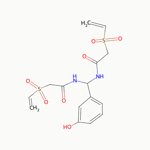 C=CS(=O)(=O)CC(=O)NC(NC(=O)CS(=O)(=O)C=C)c1cccc(O)c1